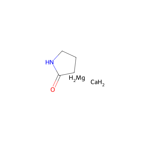 O=C1CCCN1.[CaH2].[MgH2]